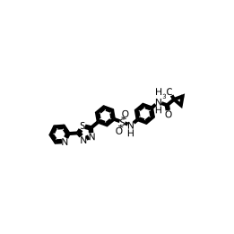 CC1(C(=O)Nc2ccc(NS(=O)(=O)c3cccc(-c4nnc(-c5ccccn5)s4)c3)cc2)CC1